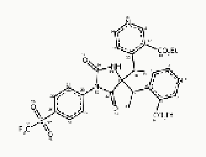 CCOC(=O)c1cnccc1C(C)C1(C(C)c2ccncc2C(=O)OCC)NC(=O)N(c2ccc(S(=O)(=O)C(F)(F)F)cc2)C1=O